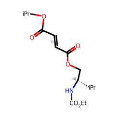 CCOC(=O)N[C@H](COC(=O)/C=C/C(=O)OC(C)C)C(C)C